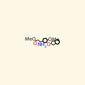 COC(=O)CC(N)c1ccc(OC)c(OC2Cc3ccccc3C2)c1